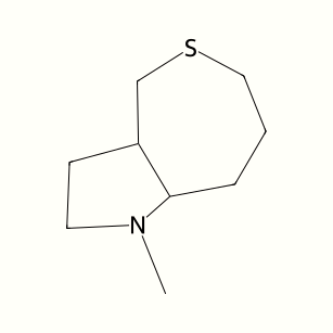 CN1CCC2CSCCCC21